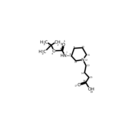 CC(C)(C)OC(=O)N[C@@H]1CCCN(CCCC(=O)O)C1